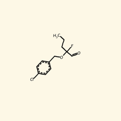 CCCC(F)(C=O)OCc1ccc(Cl)cc1